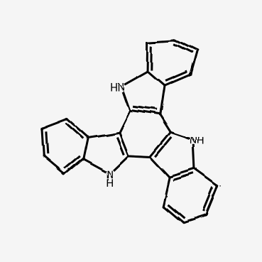 [c]1cccc2c1[nH]c1c2c2[nH]c3ccccc3c2c2[nH]c3ccccc3c12